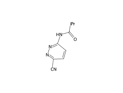 CC(C)C(=O)Nc1ccc(C#N)nn1